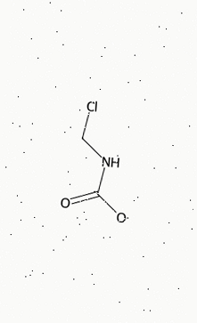 [O]C(=O)NCCl